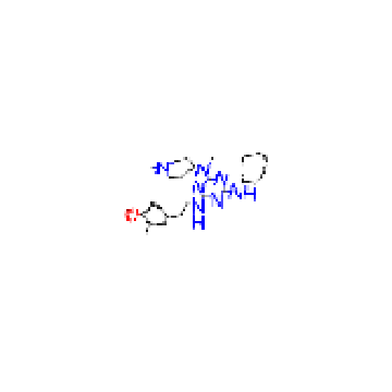 COc1ccc(CCNc2nc(NC3CCCCCC3)nc(N(C)C3CCN(C)CC3)n2)cc1C